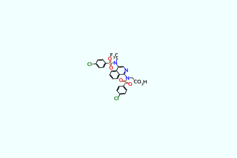 O=C(O)CN(c1ncc(N(CC(F)(F)F)S(=O)(=O)c2ccc(Cl)cc2)c2ccccc12)S(=O)(=O)c1ccc(Cl)cc1